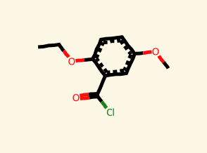 CCOc1ccc(OC)cc1C(=O)Cl